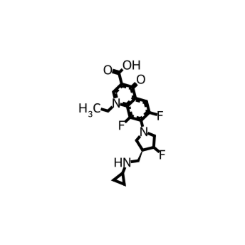 CCn1cc(C(=O)O)c(=O)c2cc(F)c(N3CC(F)[C@@H](CNC4CC4)C3)c(F)c21